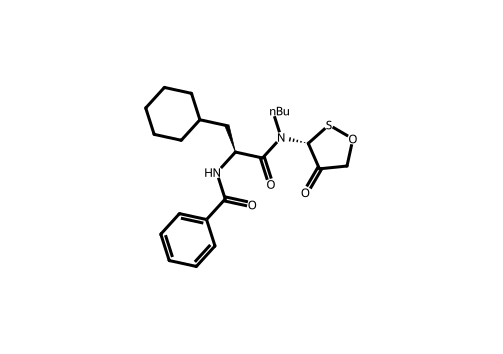 CCCCN(C(=O)[C@H](CC1CCCCC1)NC(=O)c1ccccc1)[C@@H]1SOCC1=O